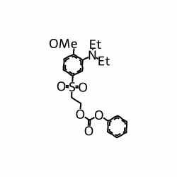 CCN(CC)c1cc(S(=O)(=O)CCOC(=O)Oc2ccccc2)ccc1OC